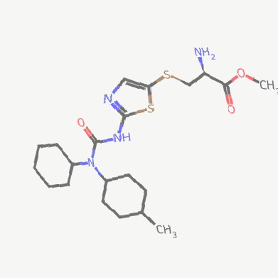 COC(=O)[C@H](N)CSc1cnc(NC(=O)N(C2CCCCC2)C2CCC(C)CC2)s1